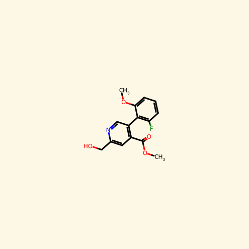 COC(=O)c1cc(CO)ncc1-c1c(F)cccc1OC